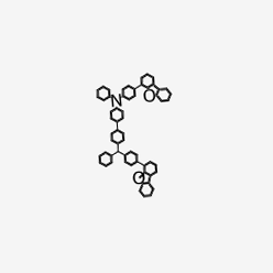 c1ccc(C(c2ccc(-c3ccc(N(c4ccccc4)c4ccc(-c5cccc6c5oc5ccccc56)cc4)cc3)cc2)c2ccc(-c3cccc4c3oc3ccccc34)cc2)cc1